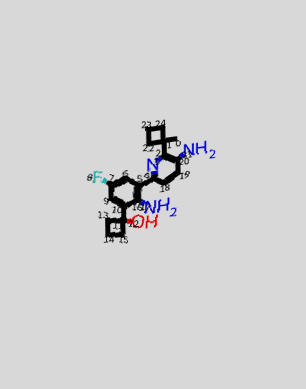 CC1(c2nc(-c3cc(F)cc(C4(O)CCC4)c3N)ccc2N)CCC1